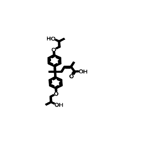 CC(=CCC(C)(c1ccc(OCC(C)O)cc1)c1ccc(OCC(C)O)cc1)C(=O)O